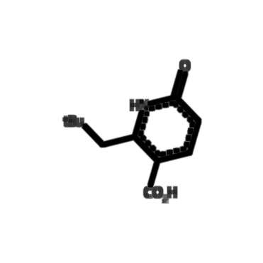 CC(C)(C)Cc1[nH]c(=O)ccc1C(=O)O